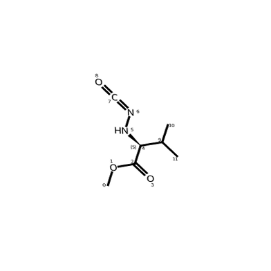 COC(=O)[C@@H](NN=C=O)C(C)C